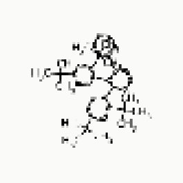 CC(C)(C)c1ccc(-c2[c]ccc(-c3ccccc3)c2-c2ccc(C(C)(C)C)cc2C(C)(C)C)c(C(C)(C)C)c1